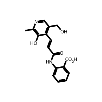 Cc1ncc(CO)c(/C=C/C(=O)Nc2ccccc2C(=O)O)c1O